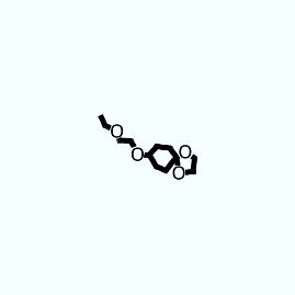 CCOCCOC1CCC2(CC1)OCCO2